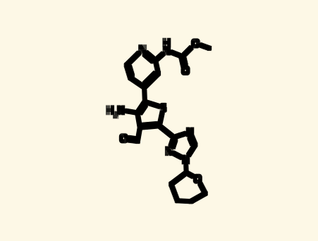 COC(=O)Nc1cc(-c2sc(-c3ncn(C4CCCCO4)n3)c(C=O)c2N)ccn1